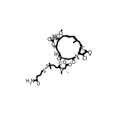 COc1cc2cc(c1Cl)N(C)C(=O)C[C@H](OC(=O)[C@H](C)N(C)C(=O)CCC(C)(C)SSCCCC(N)=O)[C@]1(C)O[C@H]1[C@H](C)[C@@H]1C[C@@](O)(NC(=O)O1)[C@H](OC)/C=C/C=C(\C)C2